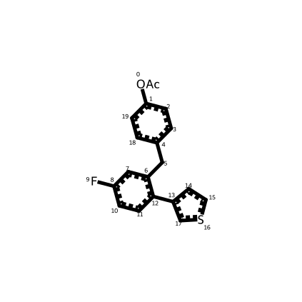 CC(=O)Oc1ccc(Cc2cc(F)ccc2-c2ccsc2)cc1